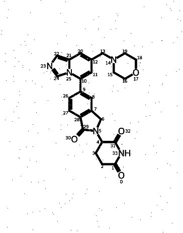 O=C1CCC(N2Cc3cc(-c4cc(CN5CCOCC5)cc5cncn45)ccc3C2=O)C(=O)N1